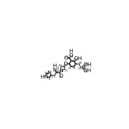 N[C@H](Cc1c[nH]cn1)C(=O)N1CC(Oc2ccc(CCB(O)O)c(O)c2C(=O)O)C1